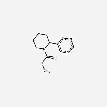 COC(=O)N1CCCCC1c1cccnc1